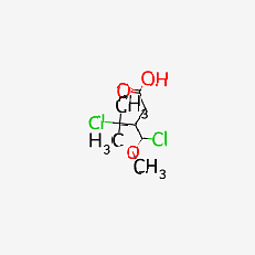 COC(Cl)C(CC(=O)O)C(C)(C)Cl